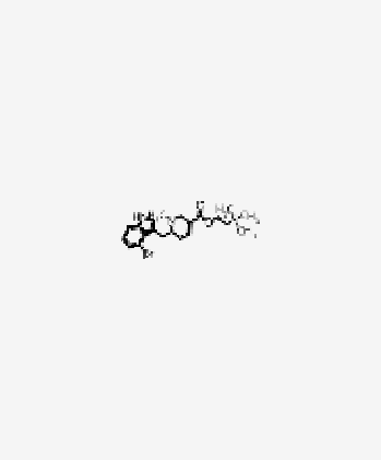 CN1CC(C(=O)OCC[Si](C)(C)C)=CCC1Cc1c[nH]c2cccc(Br)c12